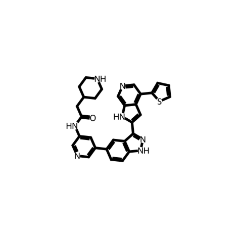 O=C(CC1CCNCC1)Nc1cncc(-c2ccc3[nH]nc(-c4cc5c(-c6cccs6)cncc5[nH]4)c3c2)c1